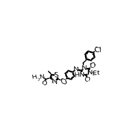 CCn1c(=O)[nH]/c(=N\c2ccc(Oc3nc(C(N)=O)c(C)s3)cc2)n(Cc2ccc(Cl)cc2)c1=O